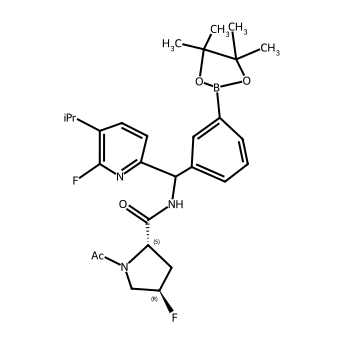 CC(=O)N1C[C@H](F)C[C@H]1C(=O)NC(c1cccc(B2OC(C)(C)C(C)(C)O2)c1)c1ccc(C(C)C)c(F)n1